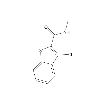 CNC(=O)c1sc2ccccc2c1Cl